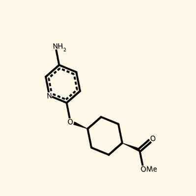 COC(=O)[C@H]1CC[C@@H](Oc2ccc(N)cn2)CC1